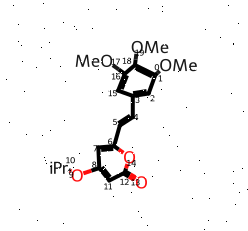 COc1cc(C=Cc2cc(OC(C)C)cc(=O)o2)cc(OC)c1OC